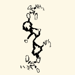 Nc1cc(OS(N)(=O)=O)ccc1-c1coc2cc(OS(N)(=O)=O)ccc2c1=O